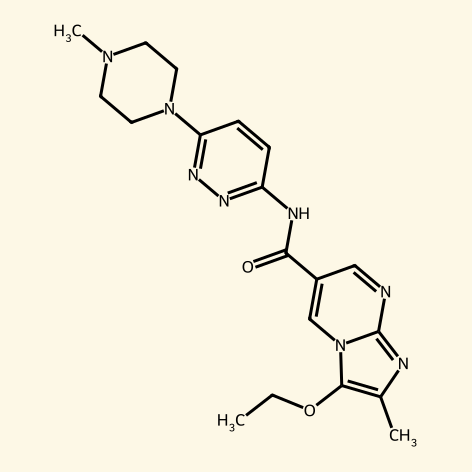 CCOc1c(C)nc2ncc(C(=O)Nc3ccc(N4CCN(C)CC4)nn3)cn12